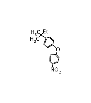 CCC(C)(C)c1ccc(Oc2ccc([N+](=O)[O-])cc2)cc1